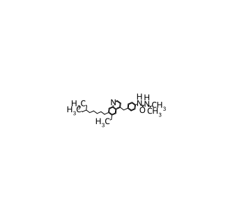 CCc1cc2c(Cc3ccc(NC(=O)NC(C)C)cc3)ccnc2cc1CCCCCC(CC)CC